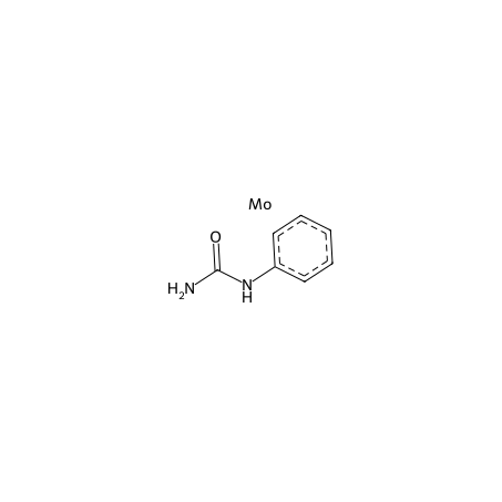 NC(=O)Nc1ccccc1.[Mo]